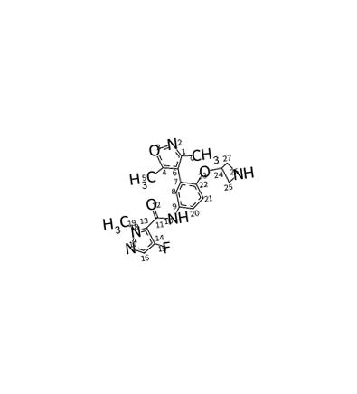 Cc1noc(C)c1-c1cc(NC(=O)c2c(F)cnn2C)ccc1OC1CNC1